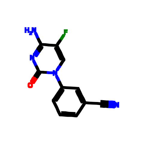 N#Cc1cccc(-n2cc(F)c(N)nc2=O)c1